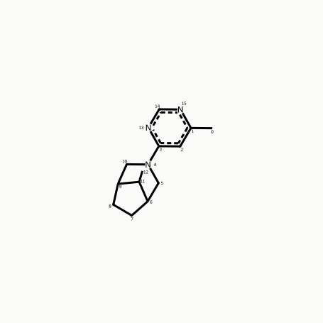 Cc1cc(N2CC3CCC(C2)C3C)ncn1